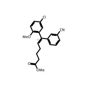 COC(=O)CCC/C=C(\c1cccc(C#N)c1)c1cc(Cl)ccc1OC